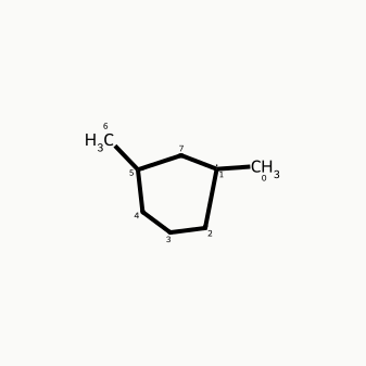 C[C]1CCC[C](C)C1